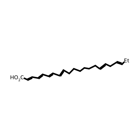 CCC=CCC=CCCCCCCC=CC=CC=CC=CC(=O)O